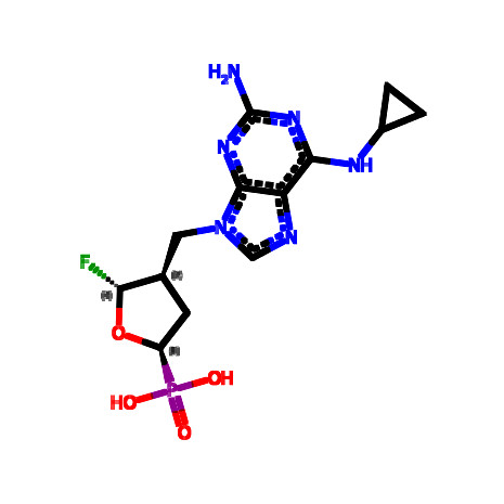 Nc1nc(NC2CC2)c2ncn(C[C@H]3C[C@@H](P(=O)(O)O)O[C@@H]3F)c2n1